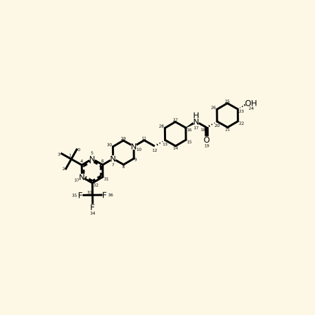 CC(C)(C)c1nc(N2CCN(CC[C@H]3CC[C@H](NC(=O)[C@H]4CC[C@@H](O)CC4)CC3)CC2)cc(C(F)(F)F)n1